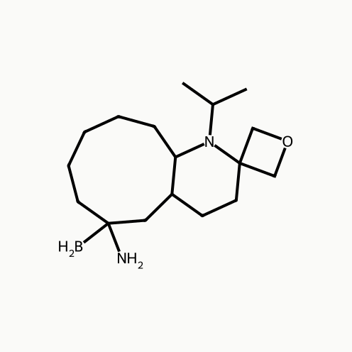 BC1(N)CCCCCC2C(CCC3(COC3)N2C(C)C)C1